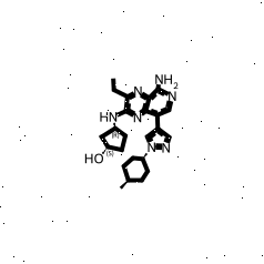 CCc1nc2c(N)ncc(-c3cnn([C@H]4CC[C@H](C)CC4)c3)c2nc1N[C@@H]1CC[C@H](O)C1